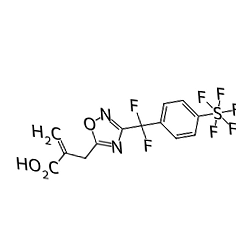 C=C(Cc1nc(C(F)(F)c2ccc(S(F)(F)(F)(F)F)cc2)no1)C(=O)O